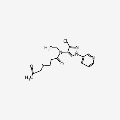 CCN(C(=O)CCSCC(C)=O)c1cn(-c2cccnc2)nc1Cl